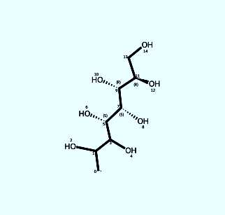 [CH2]C(O)C(O)[C@H](O)[C@@H](O)[C@H](O)[C@H](O)CO